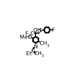 CCN(C)/C=N/c1cc(OC)c(C(O)(CSc2ccc(F)cc2)C(F)(F)F)cc1C